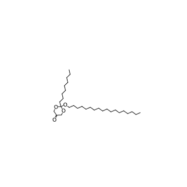 CCCCCCCCCCCCCCCCCCOC1(CCCCCCCCC)OCC(=O)CO1